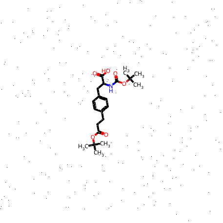 CC(C)(C)OC(=O)CCc1ccc(CC(NC(=O)OC(C)(C)C)C(=O)O)cc1